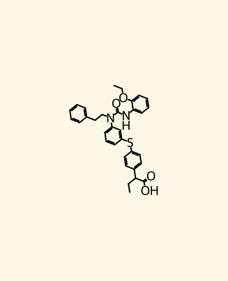 CCOc1ccccc1NC(=O)N(CCc1ccccc1)c1cccc(Sc2ccc(C(CC)C(=O)O)cc2)c1